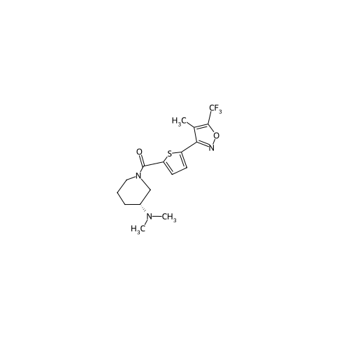 Cc1c(-c2ccc(C(=O)N3CCC[C@@H](N(C)C)C3)s2)noc1C(F)(F)F